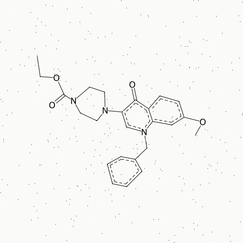 CCOC(=O)N1CCN(c2cn(Cc3ccccc3)c3cc(OC)ccc3c2=O)CC1